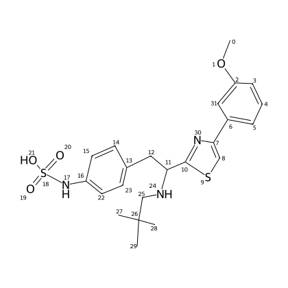 COc1cccc(-c2csc(C(Cc3ccc(NS(=O)(=O)O)cc3)NCC(C)(C)C)n2)c1